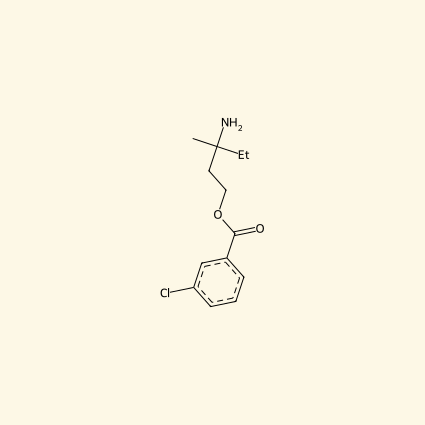 CCC(C)(N)CCOC(=O)c1cccc(Cl)c1